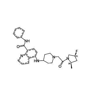 C[C@@H]1C[C@H](F)CN1C(=O)CN1CCC(Nc2ccc(C(=O)Nc3ccccc3)c3ncccc23)CC1